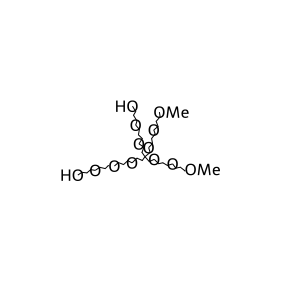 COCCCOCCCOCC(CCOCCCOCCCO)(CCOCCCOCCCOCCCO)COCCCOCCCOC